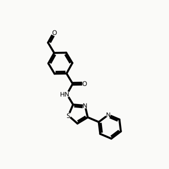 O=Cc1ccc(C(=O)Nc2nc(-c3ccccn3)cs2)cc1